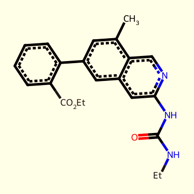 CCNC(=O)Nc1cc2cc(-c3ccccc3C(=O)OCC)cc(C)c2cn1